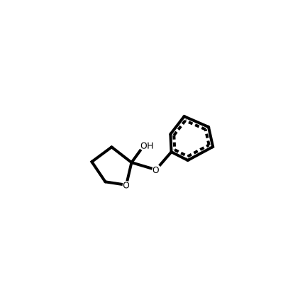 OC1(Oc2ccccc2)CCCO1